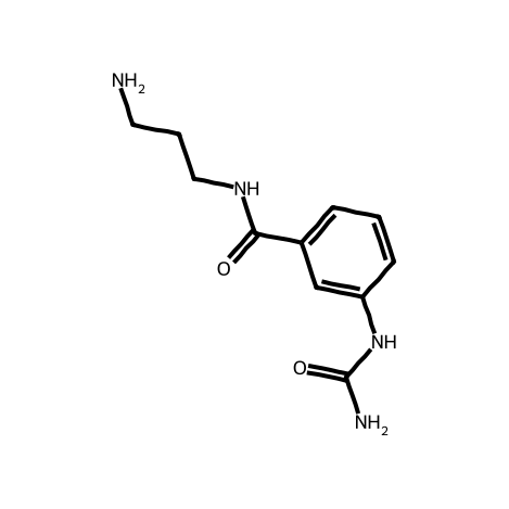 NCCCNC(=O)c1cccc(NC(N)=O)c1